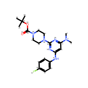 CN(C)c1cc(Nc2ccc(F)cc2)nc(N2CCN(C(=O)OC(C)(C)C)CC2)n1